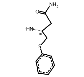 [NH][C@@H](CSc1ccccc1)CC(N)=O